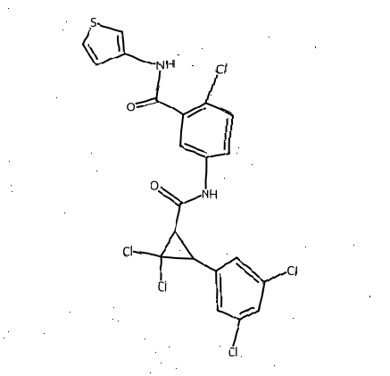 O=C(Nc1ccsc1)c1cc(NC(=O)C2C(c3cc(Cl)cc(Cl)c3)C2(Cl)Cl)ccc1Cl